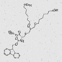 CCCCCCCCCCCCCCCCOCC(CSCC(NC(=O)OCC1c2ccccc2-c2ccccc21)C(=O)OC(C)(C)C)OCCCCCCCCCCCCCCCC